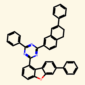 C1=C(c2ccccc2)CCc2ccc(-c3nc(-c4ccccc4)nc(-c4cccc5oc6cc(-c7ccccc7)ccc6c45)n3)cc21